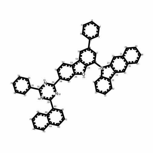 c1ccc(-c2cc(-n3c4ccccc4c4cc5ccccc5cc43)c3oc4cc(-c5nc(-c6ccccc6)nc(-c6cccc7ccccc67)n5)ccc4c3c2)cc1